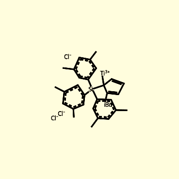 CCC(C)C1=CC=C[C]1([Ti+3])[Si](c1cc(C)cc(C)c1)(c1cc(C)cc(C)c1)c1cc(C)cc(C)c1.[Cl-].[Cl-].[Cl-]